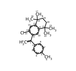 C=C(c1ccc(C)cc1)c1cc2c(cc1Cl)C(C)(C)CCC2(C)C